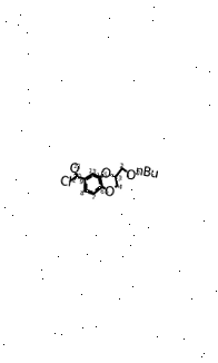 CCCCOCC1COc2ccc(C(=O)Cl)cc2O1